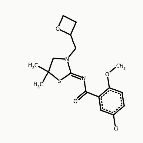 COc1ccc(Cl)cc1C(=O)N=C1SC(C)(C)CN1CC1CCO1